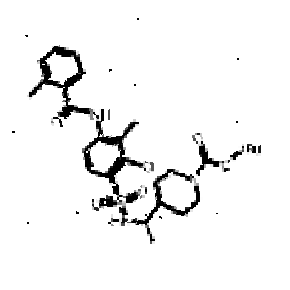 Cc1ccccc1C(=O)Nc1ccc(S(=O)(=O)N[C@H](C)C2CCN(C(=O)OC(C)(C)C)CC2)c(Cl)c1C